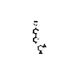 Oc1cc(-n2nccn2)cnc1-c1ccc(OC2CC3(CC3)NC3(CC3)C2)nn1